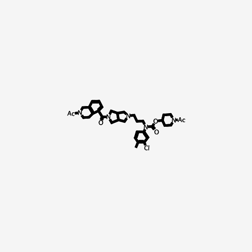 CC(=O)N1CCC(OC(=O)N(CCCN2CC3CN(C(=O)c4cccc5c4CCN(C(C)=O)C5)CC3C2)c2ccc(C)c(Cl)c2)CC1